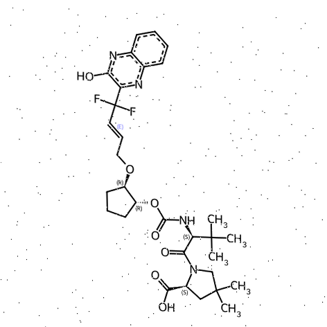 CC1(C)C[C@@H](C(=O)O)N(C(=O)[C@@H](NC(=O)O[C@@H]2CCC[C@H]2OC/C=C/C(F)(F)c2nc3ccccc3nc2O)C(C)(C)C)C1